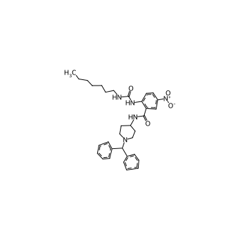 CCCCCCCNC(=O)Nc1ccc([N+](=O)[O-])cc1C(=O)NC1CCN(C(c2ccccc2)c2ccccc2)CC1